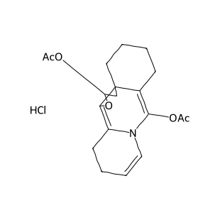 CC(=O)OC1=C2CCCCC23CC(OC(C)=O)OC3=C2CCC=CN21.Cl